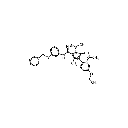 CCOc1ccc(-n2c(C)c3c(C)nnc(Nc4cccc(OCc5ccccc5)c4)c3c2C)c(OC)c1